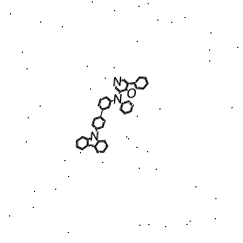 c1ccc(N(c2cccc(-c3ccc(-n4c5ccccc5c5ccccc54)cc3)c2)c2cncc3c2oc2ccccc23)cc1